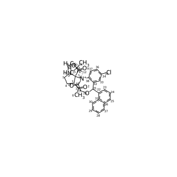 CC(=O)[C@H]1CCN[C@]1(C(=O)O)[N@+]1(CC(C)(C)C)C(=O)COC(c2cccc3ccccc23)c2cc(Cl)ccc21